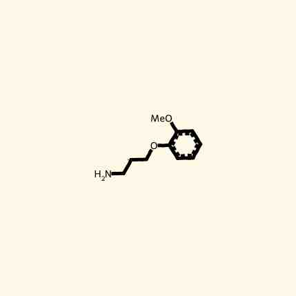 COc1ccccc1OC[CH]CN